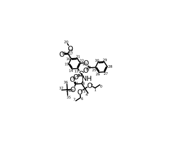 CCOC(C)(OCC)C(NS(=O)(=O)c1ccc(C(=O)OC)cc1OCc1ccccc1)C(=O)OC(C)(C)C